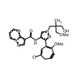 COCC(C)(CO)Cn1cc(NC(=O)c2cnn3cccnc23)c(C2=C(OC)C#CCC(Cl)=C2)n1